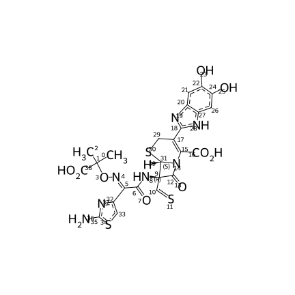 CC(C)(ON=C(C(=O)N[C@]1(C=S)C(=O)N2C(C(=O)O)=C(c3nc4cc(O)c(O)cc4[nH]3)CS[C@H]21)c1csc(N)n1)C(=O)O